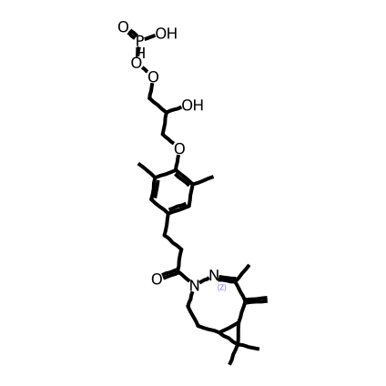 C=C1/C(C)=N\N(C(=O)CCc2cc(C)c(OCC(O)COO[PH](=O)O)c(C)c2)CCC2C1C2(C)C